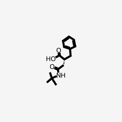 CC(C)(C)NC(=O)C[C@@H](Cc1ccccc1)C(=O)O